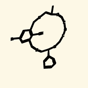 CC1COCc2cc(Br)cc(c2O)COC[C@H](c2ccccc2)OCCOCCO1